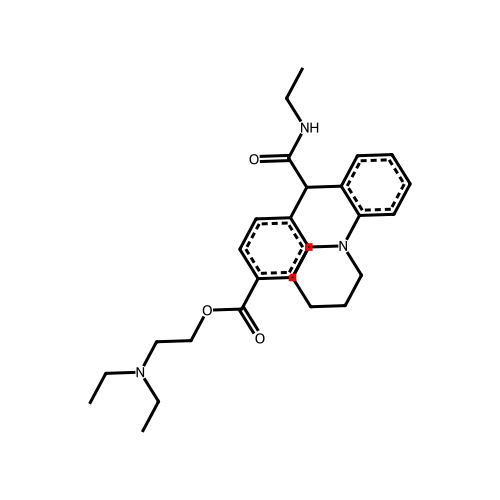 CCNC(=O)C(c1ccc(C(=O)OCCN(CC)CC)cc1)c1ccccc1N1CCCCC1